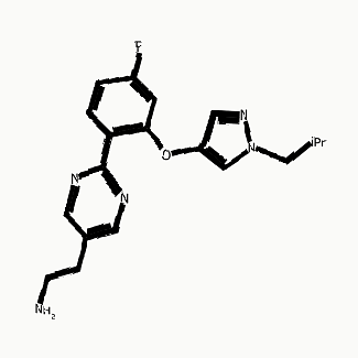 CC(C)Cn1cc(Oc2cc(F)ccc2-c2ncc(CCN)cn2)cn1